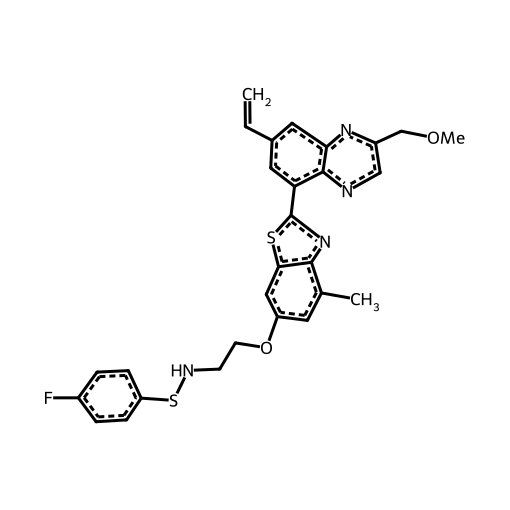 C=Cc1cc(-c2nc3c(C)cc(OCCNSc4ccc(F)cc4)cc3s2)c2ncc(COC)nc2c1